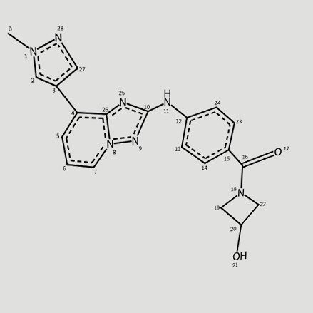 Cn1cc(-c2cccn3nc(Nc4ccc(C(=O)N5CC(O)C5)cc4)nc23)cn1